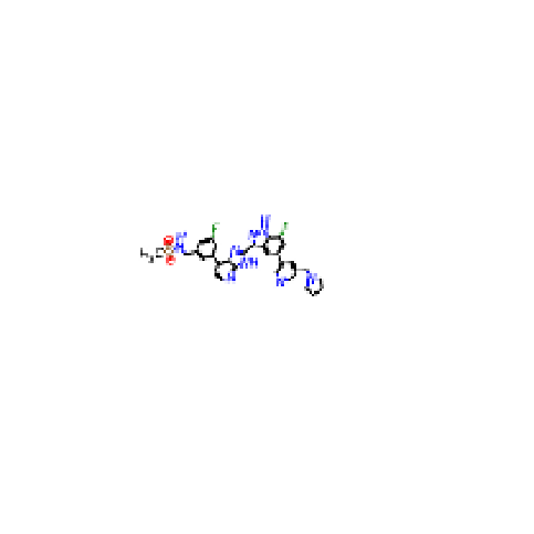 CS(=O)(=O)NCc1cc(F)cc(-c2ccnc3[nH]c(-c4n[nH]c5c(F)cc(-c6cncc(CN7CCCC7)c6)cc45)nc23)c1